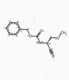 COC[C@@H](C#N)NC(=O)OCc1ccccc1